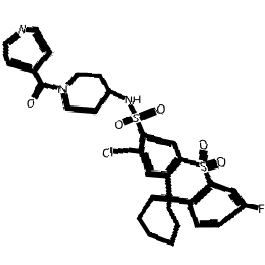 O=C(c1ccncc1)N1CCC(NS(=O)(=O)c2cc3c(cc2Cl)C2(CCCCC2)c2ccc(F)cc2S3(=O)=O)CC1